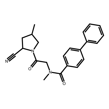 CC1CC(C#N)N(C(=O)CN(C)C(=O)c2ccc(-c3ccccc3)cc2)C1